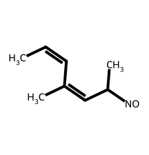 C/C=C\C(C)=C/C(C)N=O